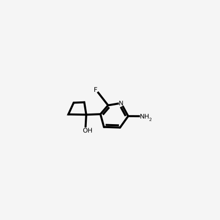 Nc1ccc(C2(O)CCC2)c(F)n1